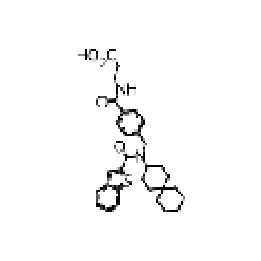 O=C(O)CCNC(=O)c1ccc(CN(C(=O)c2cc3ccccc3s2)C2CCC3(CCCCC3)CC2)cc1